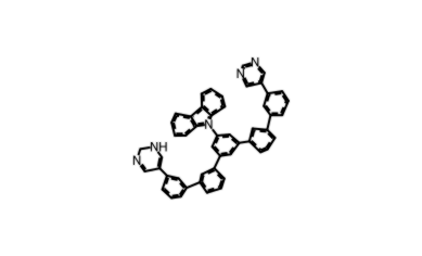 C1=NCNC=C1c1cccc(-c2cccc(-c3cc(-c4cccc(-c5cccc(-c6cncnc6)c5)c4)cc(-n4c5ccccc5c5ccccc54)c3)c2)c1